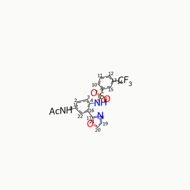 CC(=O)Nc1ccc(NS(=O)(=O)c2cccc(C(F)(F)F)c2)c(-c2ncco2)c1